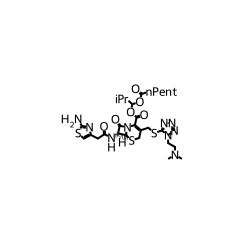 CCCCCC(=O)OC(OC(=O)C1=C(CSc2nnnn2CCN(C)C)CS[C@H]2[C@H](NC(=O)Cc3csc(N)n3)C(=O)N12)C(C)C